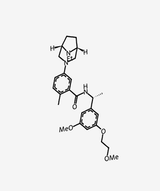 CCN1[C@@H]2CC[C@H]1CN(c1ccc(C)c(C(=O)N[C@H](C)c3cc(OC)cc(OCCOC)c3)c1)C2